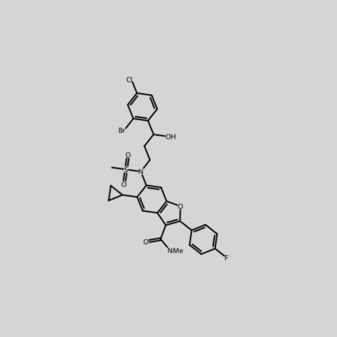 CNC(=O)c1c(-c2ccc(F)cc2)oc2cc(N(CCC(O)c3ccc(Cl)cc3Br)S(C)(=O)=O)c(C3CC3)cc12